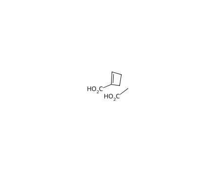 CC(=O)O.O=C(O)C1=CCC1